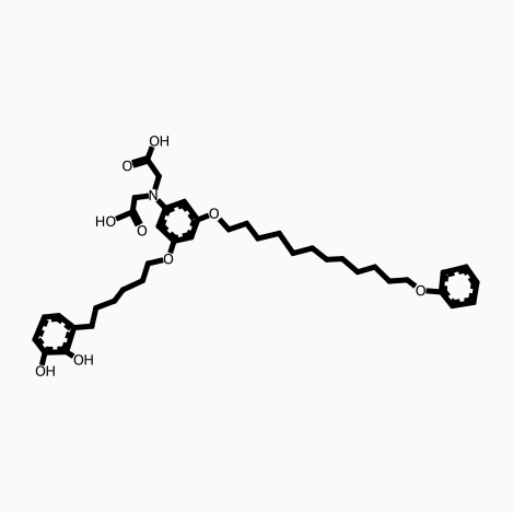 O=C(O)CN(CC(=O)O)c1cc(OCCCCCCCCCCCCOc2ccccc2)cc(OCCCCCCc2cccc(O)c2O)c1